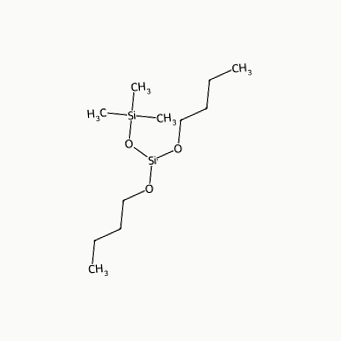 CCCCO[Si](OCCCC)O[Si](C)(C)C